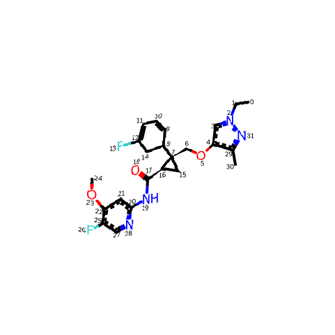 CCn1cc(OC[C@@]2(C3C=CC=C(F)C3)C[C@H]2C(=O)Nc2cc(OC)c(F)cn2)c(C)n1